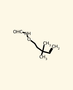 C=CC(C)(C)CCONC=O